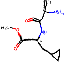 C=C(N)C(=O)N[C@@H](CC1CC1)C(=O)OC